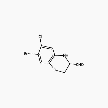 O=CC1COc2cc(Br)c(Cl)cc2N1